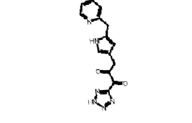 O=C(Cc1c[nH]c(Cc2ccccn2)c1)C(=O)c1nn[nH]n1